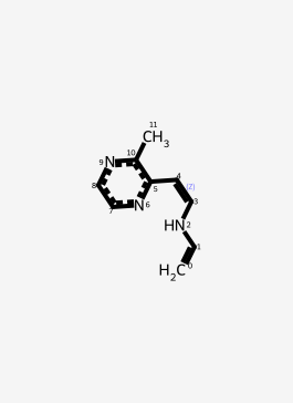 C=CN/C=C\c1nccnc1C